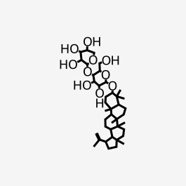 C=C(C)C1CCC2(C)CCC3(C)C(CCC4C5(C)CCC(OC6OC(CO)C(OC7OCC(O)C(O)C7O)C(O)C6O)C(C)(C)C5CCC43C)C12